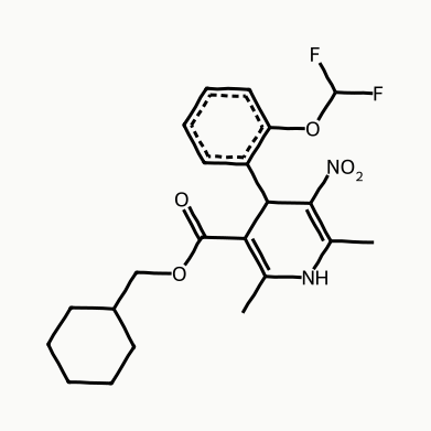 CC1=C(C(=O)OCC2CCCCC2)C(c2ccccc2OC(F)F)C([N+](=O)[O-])=C(C)N1